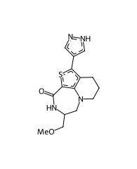 COCC1CN2CCCc3c(-c4cn[nH]c4)sc(c32)C(=O)N1